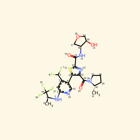 C[C@H](Nc1cc(C(F)F)c(-c2sc(C(=O)N[C@H]3COC[C@H]3O)nc2C(=O)N2CCC[C@@H]2C)cn1)C(F)(F)F